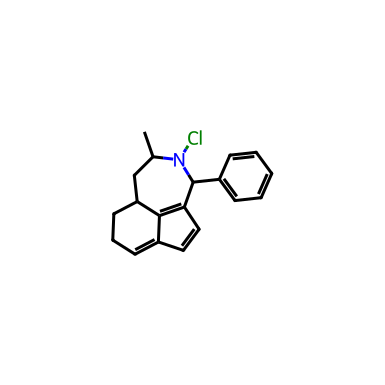 CC1CC2CCC=C3C=CC(=C32)C(c2ccccc2)N1Cl